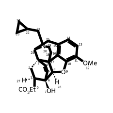 CCOC(=O)[C@H]1C[C@@]23C=C[C@]1(O)[C@@H]1Oc4c(OC)ccc5c4C12CCN(CC1CC1)C3C5